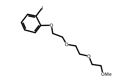 COCCOCCOCCOc1ccccc1I